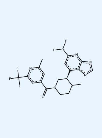 Cc1cc(C(=O)N2CCC(C)[C@H](c3cc(C(F)F)nc4ncnn34)C2)cc(C(F)(F)F)n1